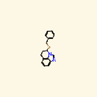 c1ccc(CSC2CCc3cccc4ncn2c34)cc1